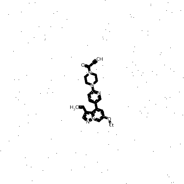 C#CC(=O)N1CCN(c2ccc(-c3cc(OCC)cn4ncc(C=C)c34)cn2)CC1